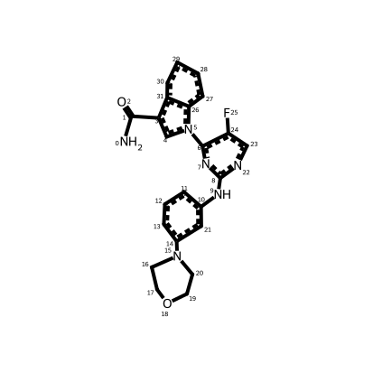 NC(=O)c1cn(-c2nc(Nc3cccc(N4CCOCC4)c3)ncc2F)c2ccccc12